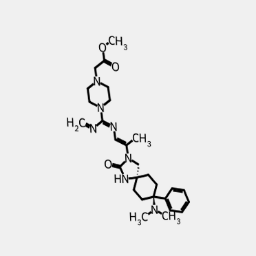 C=N/C(=N\C=C(/C)N1C[C@]2(CC[C@](c3ccccc3)(N(C)C)CC2)NC1=O)N1CCN(CC(=O)OC)CC1